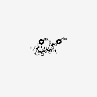 CC(COc1ccc(C(C)(C)C)cc1)OC(C)(C)C(Cl)CSCC(Cl)C(C)(C)OC(C)COc1ccc(C(C)(C)C)cc1